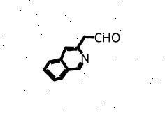 O=CCc1cc2ccccc2cn1